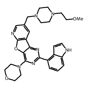 COCCN1CCN(Cc2cnc3oc4c(N5CCOCC5)nc(-c5cccc6[nH]ccc56)nc4c3c2)CC1